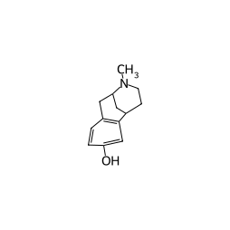 CN1CCC2CC1Cc1ccc(O)cc12